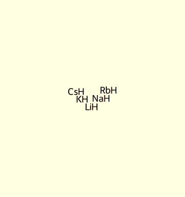 [CsH].[KH].[LiH].[NaH].[RbH]